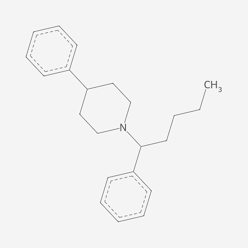 CCCCC(c1ccccc1)N1CCC(c2ccccc2)CC1